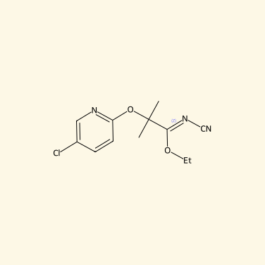 CCO/C(=N\C#N)C(C)(C)Oc1ccc(Cl)cn1